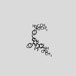 COC(=O)Nc1cc(C(F)(F)F)c(-c2nc(N3CCOCC3)c3cc(CN4CCN(C(=O)OC(C)(C)C)CC4)cn3n2)cn1